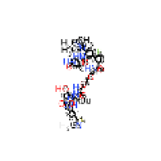 Cc1ncsc1-c1ccc(CNC(=O)[C@@H]2C[C@@H](O)CN2C(=O)[C@@H](NC(=O)CCOCCOCCNC(=O)c2ccc(F)c(-c3ccc(N4C[C@@H](C)N(C)[C@@H](C)C4)c(NC(=O)c4c[nH]c(=O)cc4C(F)(F)F)c3)c2)C(C)(C)C)cc1